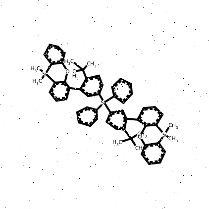 CC(C)(C)c1ccc([Si](c2ccccc2)(c2ccccc2)c2ccc(C(C)(C)C)c(-c3cccc4c3Oc3ccccc3[Si]4(C)C)c2)cc1-c1cccc2c1Oc1ccccc1[Si]2(C)C